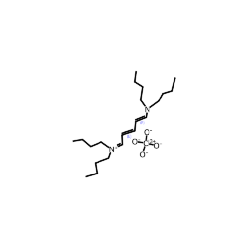 CCCCN(/C=C/C=C/C=[N+](CCCC)CCCC)CCCC.[O-][Cl+3]([O-])([O-])[O-]